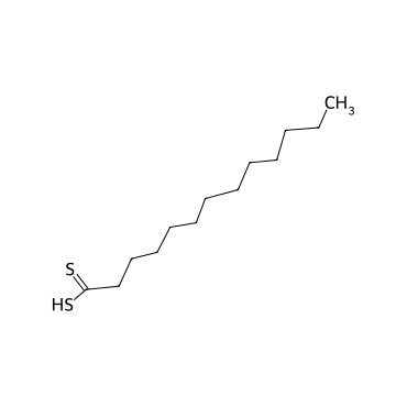 CCCCCCCCCCCCC(=S)S